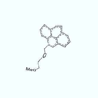 COCCOCc1cc2cccc3ccc4cccc1c4c32